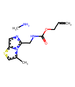 C=CCOC(=O)NCc1ncc2scc(C)n12.CN